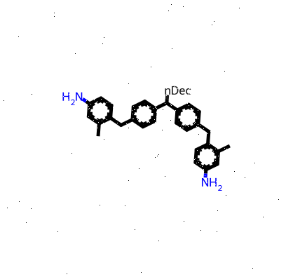 CCCCCCCCCCC(c1ccc(Cc2ccc(N)cc2C)cc1)c1ccc(Cc2ccc(N)cc2C)cc1